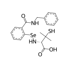 CC(C)(S)[C@@H](N[Se]c1ccccc1C(=O)NCc1ccccc1)C(=O)O